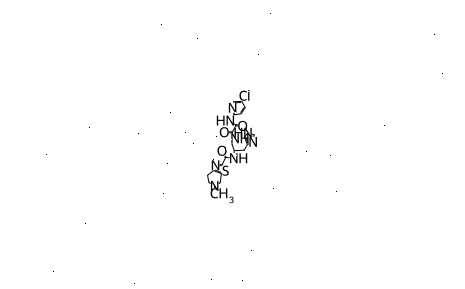 CN1CCc2nc(C(=O)NC(CNC(=O)C(=O)Nc3ccc(Cl)cn3)Cc3c[nH]cn3)sc2C1